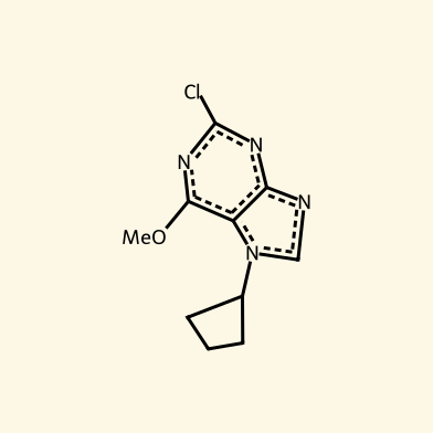 COc1nc(Cl)nc2ncn(C3CCC3)c12